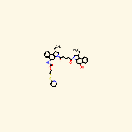 CC[C@@H]1CN(C(=O)CCCC(=O)N2C[C@@H](CC)c3c2cc(NC(=O)OCCSSc2ccccn2)c2ccccc32)c2cc(O)c3ccccc3c21